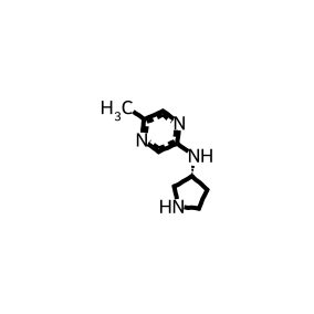 Cc1cnc(N[C@@H]2CCNC2)cn1